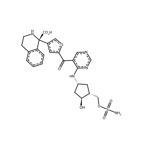 NS(=O)(=O)OC[C@H]1C[C@@H](Nc2ncncc2C(=O)c2cc([C@@]3(C(=O)O)NCCc4ccccc43)cs2)C[C@@H]1O